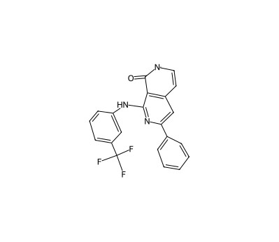 O=C1[N]C=Cc2cc(-c3ccccc3)nc(Nc3cccc(C(F)(F)F)c3)c21